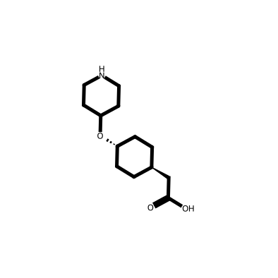 O=C(O)C[C@H]1CC[C@H](OC2CCNCC2)CC1